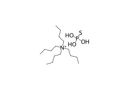 CCCC[N+](CCCC)(CCCC)CCCC.OP(O)(O)=S